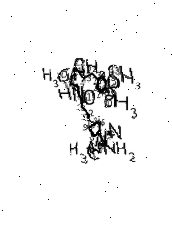 CN=C(N)N(C#N)c1ccc(/C=C/CC(=O)NCCC(C)N(C)CCc2ccc(OC)c(OC)c2)cc1